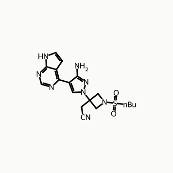 CCCCS(=O)(=O)N1CC(CC#N)(n2cc(-c3ncnc4[nH]ccc34)c(N)n2)C1